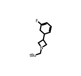 CC(C)(C)CN1CC(C2C=CC=C(F)C2)C1